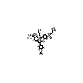 CCCC[C@H](c1ccc(C(=O)NCC2=NN=N2)cc1)N1C(=O)C(c2ccc(OC(F)(F)F)cc2)=NC12CCC(C(C)(C)C)CC2